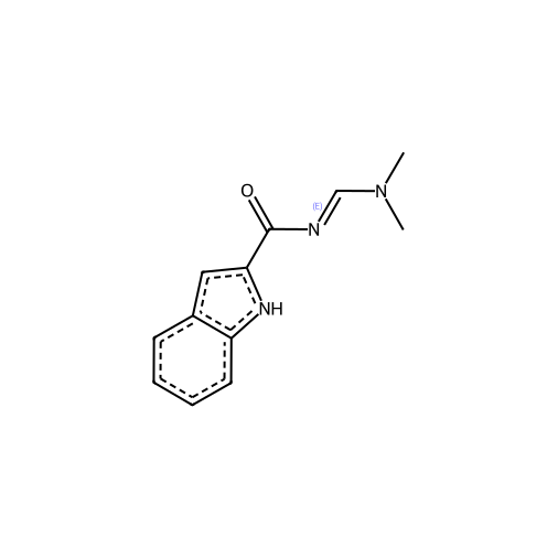 CN(C)/C=N/C(=O)c1cc2ccccc2[nH]1